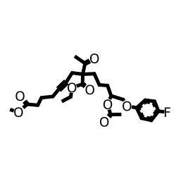 CCOC(=O)C(CC#CCCCC(=O)OC)(CCCC(COc1ccc(F)cc1)OC(C)=O)C(C)=O